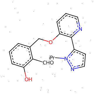 CC(C)n1nccc1-c1ncccc1OCc1cccc(O)c1C=O